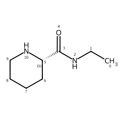 CCNC(=O)[C@@H]1CCCCN1